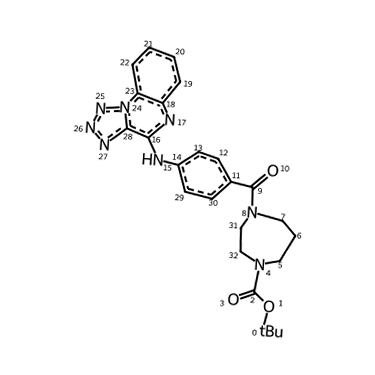 CC(C)(C)OC(=O)N1CCCN(C(=O)c2ccc(Nc3nc4ccccc4n4nnnc34)cc2)CC1